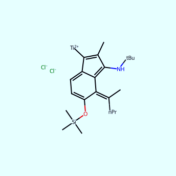 CCCC(C)=c1c(O[Si](C)(C)C)ccc2c1=C(NC(C)(C)C)C(C)=[C]2[Ti+2].[Cl-].[Cl-]